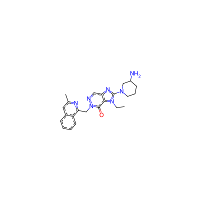 CCn1c(N2CCCC(N)C2)nc2cnn(Cc3nc(C)cc4ccccc34)c(=O)c21